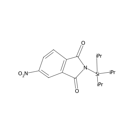 CC(C)[Si](C(C)C)(C(C)C)N1C(=O)c2ccc([N+](=O)[O-])cc2C1=O